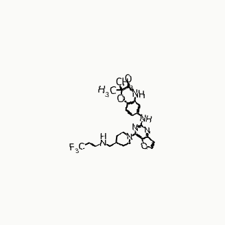 CC1(C)Oc2ccc(Nc3nc(N4CCC(CNCCC(F)(F)F)CC4)c4occc4n3)cc2NC1=O